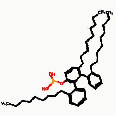 CCCCCCCCCc1ccccc1-c1c(CCCCCCCCC)ccc(OP(O)O)c1-c1ccccc1CCCCCCCCC